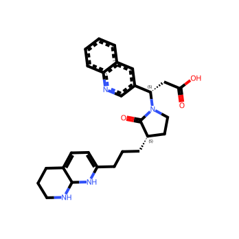 O=C(O)C[C@@H](c1cnc2ccccc2c1)N1CC[C@H](CCCC2=CC=C3CCCNC3N2)C1=O